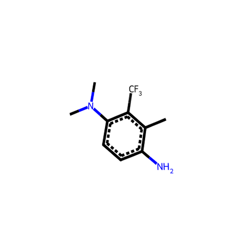 Cc1c(N)ccc(N(C)C)c1C(F)(F)F